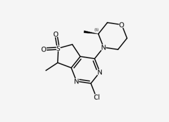 CC1c2nc(Cl)nc(N3CCOC[C@@H]3C)c2CS1(=O)=O